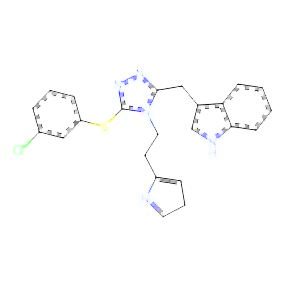 Clc1cccc(Sc2nnc(Cc3c[nH]c4ccccc34)n2CCC2=CCC=N2)c1